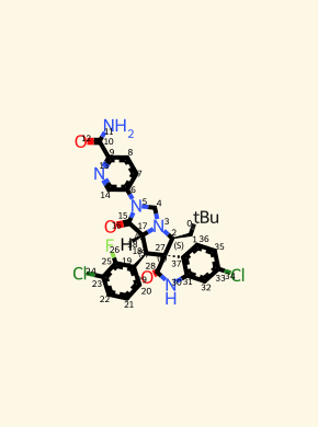 CC(C)(C)C[C@@H]1N2CN(c3ccc(C(N)=O)nc3)C(=O)[C@H]2[C@H](c2cccc(Cl)c2F)[C@]12C(=O)Nc1cc(Cl)ccc12